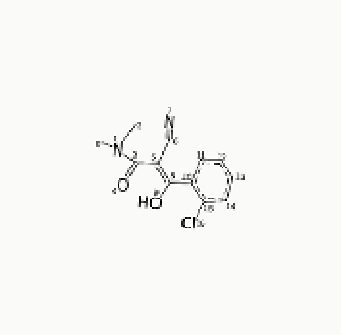 CN(C)C(=O)/C(C#N)=C(\O)c1ccccc1Cl